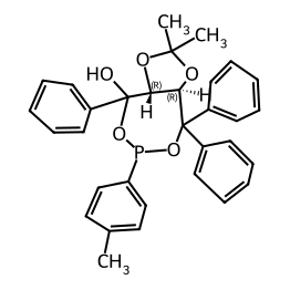 Cc1ccc(P2OC(O)(c3ccccc3)[C@@H]3OC(C)(C)O[C@H]3C(c3ccccc3)(c3ccccc3)O2)cc1